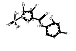 O=C(Nc1ccc(F)cc1Cl)c1nn(P(=O)(O)O)c(Cl)c1F